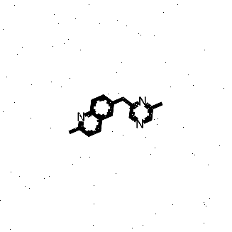 Cc1cncc(Cc2ccc3nc(C)ccc3c2)n1